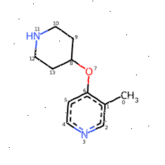 Cc1cnccc1OC1CCNCC1